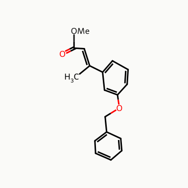 COC(=O)/C=C(\C)c1cccc(OCc2ccccc2)c1